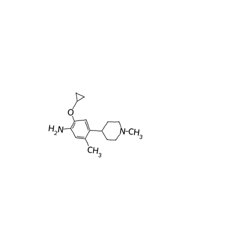 Cc1cc(N)c(OC2CC2)cc1C1CCN(C)CC1